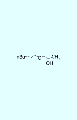 CCCCCCCOCC(C)O